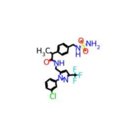 CC(C(=O)NCc1cc(C(F)(F)F)nn1-c1cccc(Cl)c1)c1ccc(CNS(N)(=O)=O)cc1